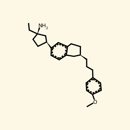 CC[C@@]1(N)CC[C@H](c2ccc3c(c2)CC[C@@H](CCCc2ccc(OC)cc2)C3)C1